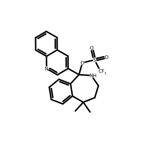 CC1(C)CCNC(OS(=O)(=O)C(F)(F)F)(c2cnc3ccccc3c2)c2ccccc21